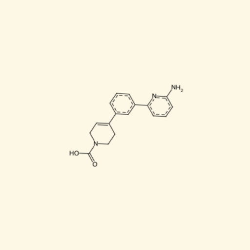 Nc1cccc(-c2cccc(C3=CCN(C(=O)O)CC3)c2)n1